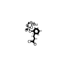 CCCCOP(=O)(OCCCC)Oc1ccccc1CCC(=O)Cl